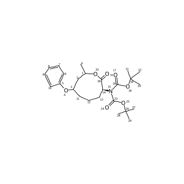 CC1CC(Oc2ccccc2)CCC[C@H](N(C(=O)OC(C)(C)C)C(=O)OC(C)(C)C)C(=O)O1